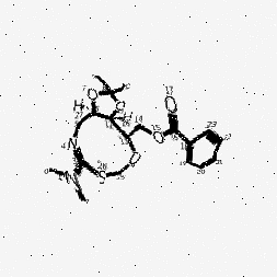 CN(C)C1=NC[C@H]2OC(C)(C)O[C@@H]2[C@@H](COC(=O)c2ccccc2)OCS1